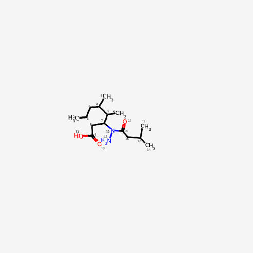 CCCC(C)C(C)C(CC(=O)O)N(N)C(=O)CC(C)C